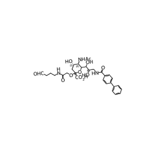 CC(=O)N[C@H]1C(C(O)[C@H](O)CNC(=O)c2ccc(-c3ccccc3)cc2)O[C@@](OCC(=O)NCCCC=O)(C(=O)O)C[C@@H]1O